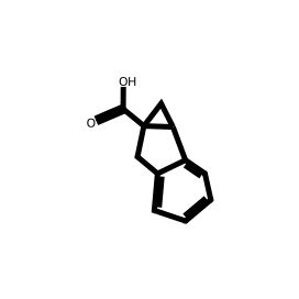 O=C(O)C12Cc3ccccc3C1C2